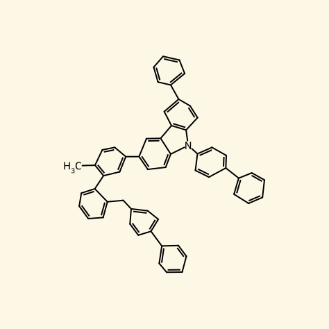 Cc1ccc(-c2ccc3c(c2)c2cc(-c4ccccc4)ccc2n3-c2ccc(-c3ccccc3)cc2)cc1-c1ccccc1Cc1ccc(-c2ccccc2)cc1